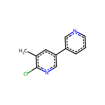 Cc1cc(-c2cccnc2)cnc1Cl